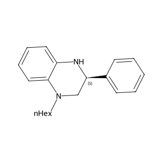 CCCCCCN1C[C@H](c2ccccc2)Nc2ccccc21